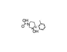 Cc1ccccc1[C@H]1CCN(C(=O)O)C[C@@H]1O